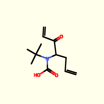 C=CCC(C(=O)C=C)N(C(=O)O)C(C)(C)C